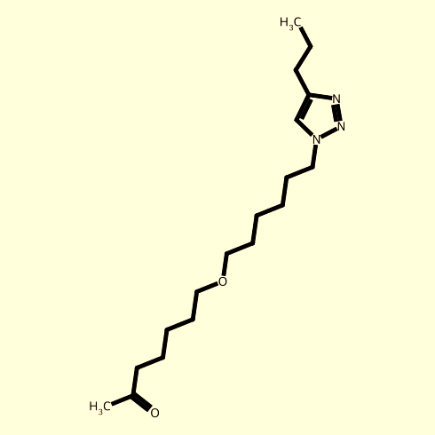 CCCc1cn(CCCCCCOCCCCCC(C)=O)nn1